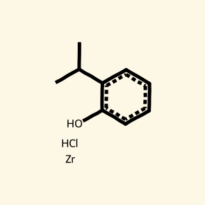 CC(C)c1ccccc1O.Cl.[Zr]